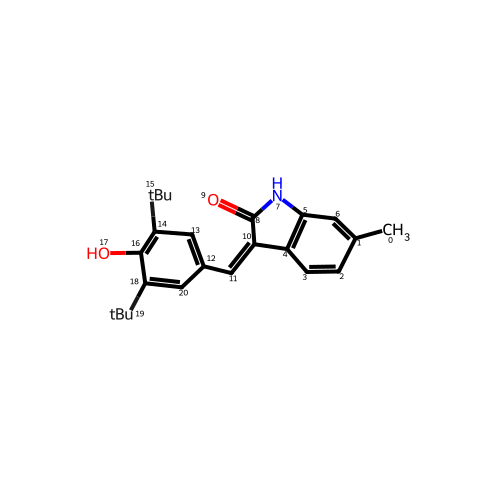 Cc1ccc2c(c1)NC(=O)/C2=C\c1cc(C(C)(C)C)c(O)c(C(C)(C)C)c1